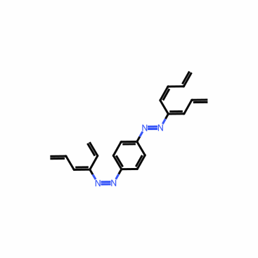 C=C\C=C/C(=C\C=C)/N=N/c1ccc(/N=N\C(C=C)=C\C=C)cc1